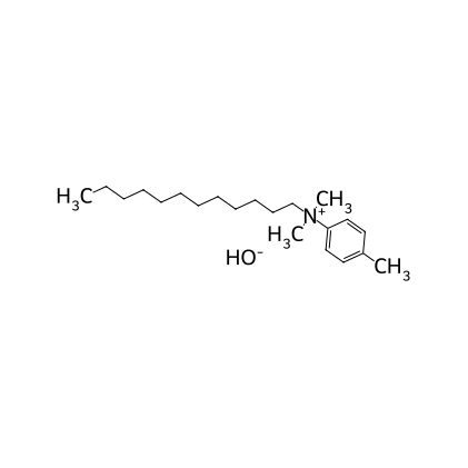 CCCCCCCCCCCC[N+](C)(C)c1ccc(C)cc1.[OH-]